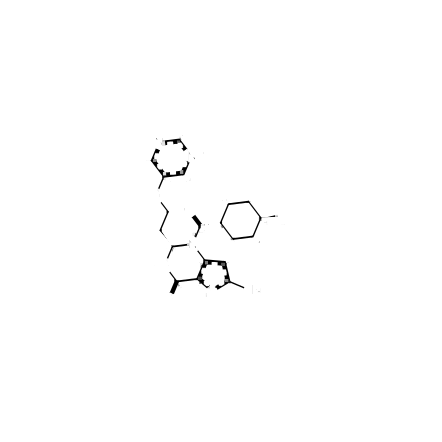 CC(C)(C)c1cc2c(s1)C(=O)O[C@@H](CCOc1cncnc1)N2C(=O)[C@H]1CC[C@H](C)CC1